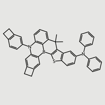 CC1(C)c2cccc3c2B(c2cc4c(cc2N3c2ccc3c(c2)CC3)CC4)c2sc3ccc(N(c4ccccc4)c4ccccc4)cc3c21